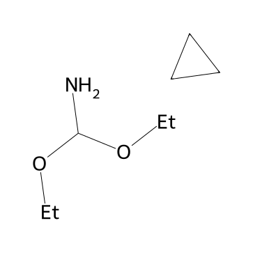 C1CC1.CCOC(N)OCC